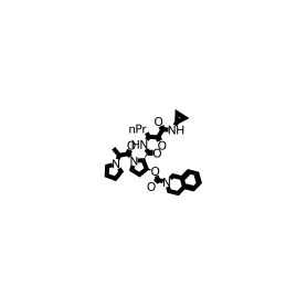 CCCC(NC(=O)[C@@H]1[C@H](OC(=O)N2CCc3ccccc3C2)CCN1C(=O)C(C)N1CCCC1)C(=O)C(=O)NC1CC1